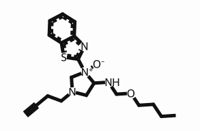 C#CCCN1CC(NCOCCCC)[N+]([O-])(c2nc3ccccc3s2)C1